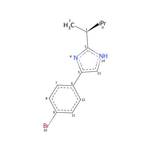 CC(C)[C@H](C)c1nc(-c2ccc(Br)cc2)c[nH]1